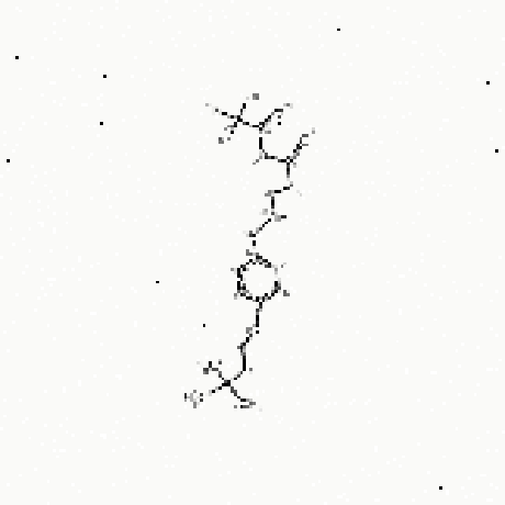 CC(C)(C)CCOc1ccc(CNCCC(=O)OC(=O)C(F)(F)F)cc1